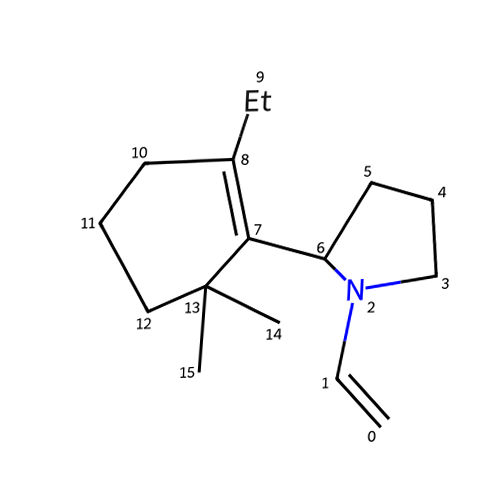 C=CN1CCCC1C1=C(CC)CCCC1(C)C